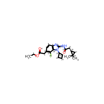 CCOC(=O)Cc1ccc2nc(NC(=O)C[C@H]3CC3(C)C)n(C3CCC3)c2c1F